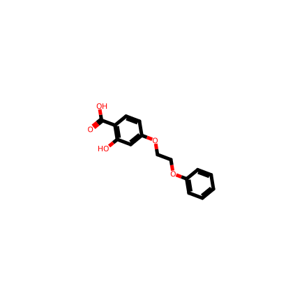 O=C(O)c1ccc(OCCOc2ccccc2)cc1O